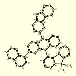 CC1(C)c2ccccc2-c2c(-c3c4ccccc4c(-c4ccc5sc6ccccc6c5c4)c4ccc(-c5cccc6ccccc56)cc34)cccc21